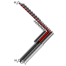 CC.CC.CC.CC.CC.CC.CC.CC.CC.CC.CC.CC.CC.CC.CC.CC.CC.CC.CC.CC.CC.CC.CC.CC.CC.CC.CCC.CCC.CCC.CCC.CCC.CCC.CCC.CCC.CCC.CCC.CCC.CCC.CCC.CCC.CCC.CCC.CCC.CCC.CCC.CCC.CCC.CCC.CCC.CCC.CCC.CCC.CCCC.CCCC